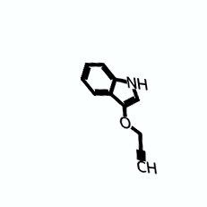 C#CCOc1c[nH]c2ccccc12